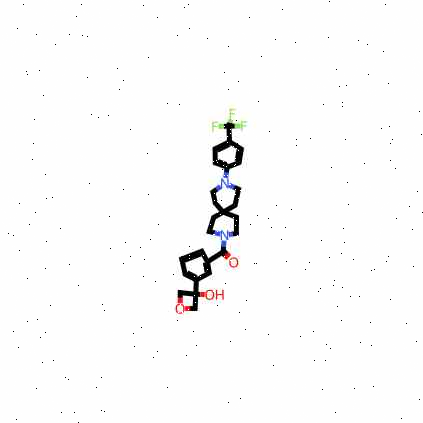 O=C(c1cccc(C2(O)COC2)c1)N1CCC2(CC1)CCN(c1ccc(C(F)(F)F)cc1)CC2